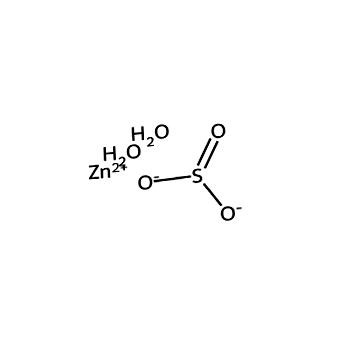 O.O.O=S([O-])[O-].[Zn+2]